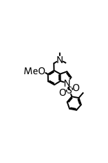 COc1ccc2c(ccn2S(=O)(=O)c2ccccc2C)c1CN(C)C